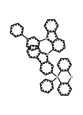 c1ccc(-c2cccc(-n3c4ccccc4c4cccc(-n5c6ccccc6c6ccc([Si]7(c8ccccc8)c8ccccc8Oc8ccccc87)cc65)c43)c2)cc1